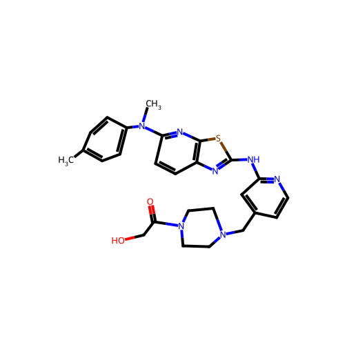 Cc1ccc(N(C)c2ccc3nc(Nc4cc(CN5CCN(C(=O)CO)CC5)ccn4)sc3n2)cc1